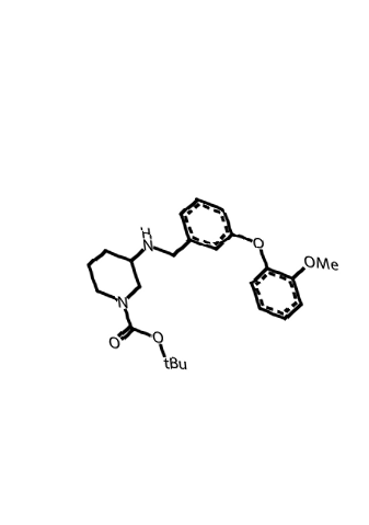 COc1ccccc1Oc1cccc(CNC2CCCN(C(=O)OC(C)(C)C)C2)c1